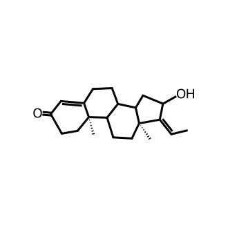 C/C=C1\C(O)CC2C3CCC4=CC(=O)CC[C@]4(C)C3CC[C@]12C